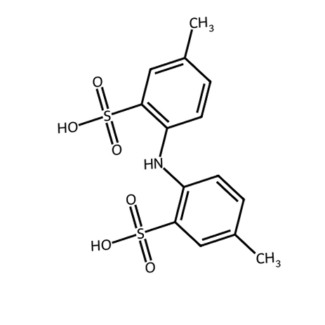 Cc1ccc(Nc2ccc(C)cc2S(=O)(=O)O)c(S(=O)(=O)O)c1